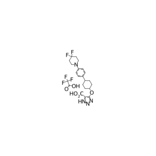 O=C(O)C(F)(F)F.O=C(O)c1[nH]nnc1OC1CCC(c2ccc(N3CCC(F)(F)CC3)cc2)CC1